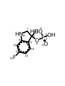 O=P(O)(O)OC1(O)CNc2cc(F)ccc21